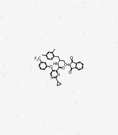 Cc1ccc(CC(CON2C(=O)c3ccccc3C2=O)NC(=O)c2nc(C3CC3)ncc2Oc2cccc(C(F)(F)F)c2)c(C)c1